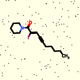 CCCCCC#CC=C(I)C(=O)N1CCCCC1